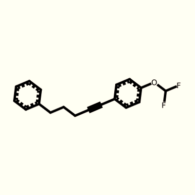 FC(F)Oc1ccc(C#CCCCc2ccccc2)cc1